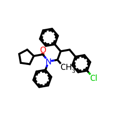 CC(C(Cc1ccc(Cl)cc1)c1ccccc1)N(C(=O)C1CCCC1)c1ccccc1